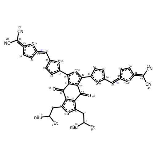 CCCCC(CC)Cc1sc(CC(CC)CCCC)c2c1C(=O)c1c(-c3ccc(/C=c4\ccc(=C(C#N)C#N)s4)s3)sc(-c3ccc(/C=c4\ccc(=C(C#N)C#N)s4)s3)c1C2=O